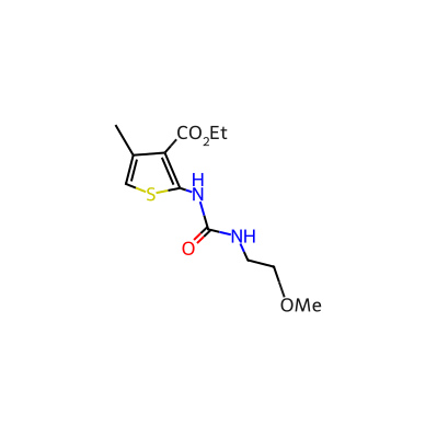 CCOC(=O)c1c(C)csc1NC(=O)NCCOC